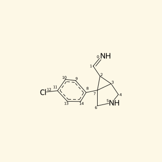 N=CC1C2CNCC12c1ccc(Cl)cc1